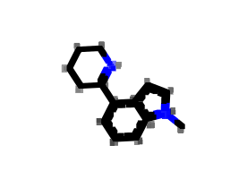 Cn1ccc2c(C3=NCCCC3)cccc21